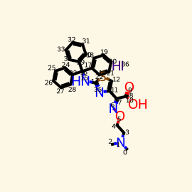 CN(C)CCON=C(C(=O)O)c1csc(NC(c2ccccc2)(c2ccccc2)c2ccccc2)n1.I